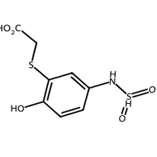 O=C(O)CSc1cc(N[SH](=O)=O)ccc1O